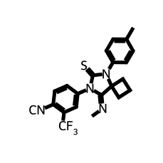 [C-]#[N+]c1ccc(N2C(=S)N(c3ccc(C)cc3)C3(CCC3)C2=NC)cc1C(F)(F)F